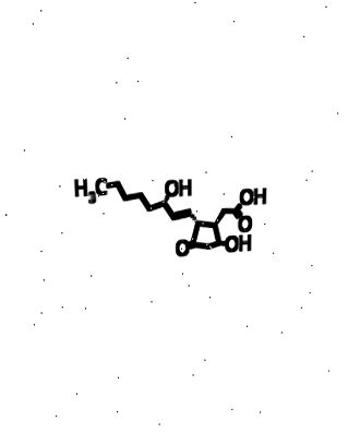 CCCCC[C@H](O)C=C[C@H]1C(=O)C[C@H](O)[C@@H]1CC(=O)O